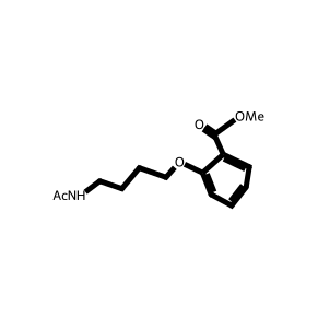 COC(=O)c1ccccc1OCCCCNC(C)=O